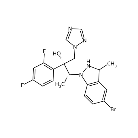 CC1NN([C@H](C)[C@](O)(Cn2cncn2)c2ccc(F)cc2F)c2ccc(Br)cc21